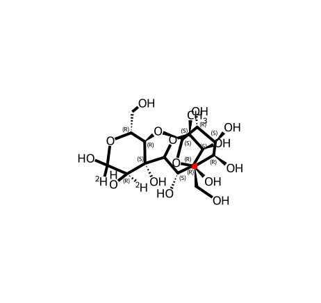 [2H]C1(O)O[C@H](CO)[C@@H](O[C@@H]2O[C@H](CO)[C@H](O)[C@H](O)[C@H]2O)[C@@](O)(C2O[C@@H](C)[C@@H](O)[C@@H](O)[C@@H]2O)[C@@]1([2H])O